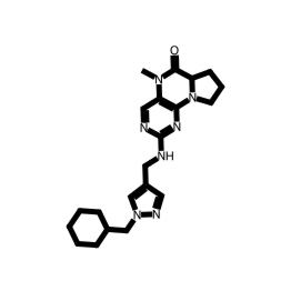 CN1C(=O)C2CCCN2c2nc(NCc3cnn(CC4CCCCC4)c3)ncc21